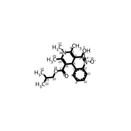 CC1=C(C(=O)O)C(c2ccccc2[N+](=O)[O-])C(C(=O)OCC(C)C)=C(C)N1C